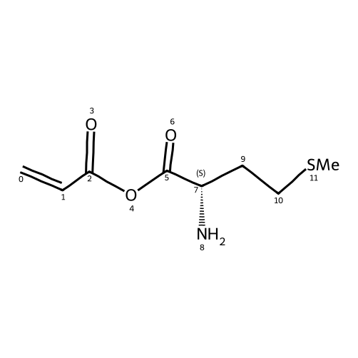 C=CC(=O)OC(=O)[C@@H](N)CCSC